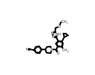 CCOCc1nnc(-c2cc(C(=O)N3CCC(c4ccc(C#N)cc4)CC3)c(C)cc2C2CCC2)[nH]1